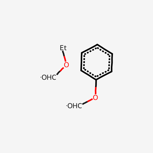 CCO[C]=O.O=[C]Oc1ccccc1